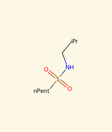 CCCCCS(=O)(=O)NCC(C)C